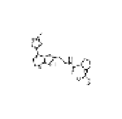 C=CC(=O)N1CCCC1C(=O)NCCc1cc2c(-c3cnn(C)c3)ccnc2[nH]1